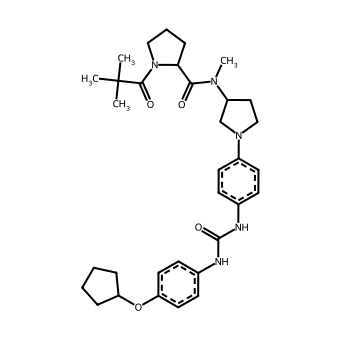 CN(C(=O)C1CCCN1C(=O)C(C)(C)C)C1CCN(c2ccc(NC(=O)Nc3ccc(OC4CCCC4)cc3)cc2)C1